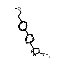 CC1CC(c2ccc(-c3ccc(CCO)cc3)cc2)=NO1